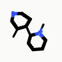 Cc1cnccc1-c1cccc[n+]1C